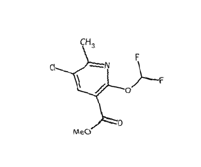 COC(=O)c1cc(Cl)c(C)nc1OC(F)F